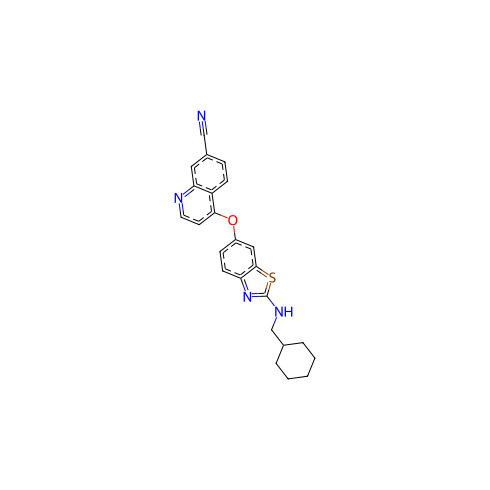 N#Cc1ccc2c(Oc3ccc4nc(NCC5CCCCC5)sc4c3)ccnc2c1